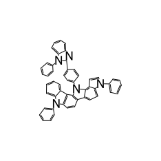 c1ccc(-n2ccc3c2ccc2c4ccc5c(c6ccccc6n5-c5ccccc5)c4n(-c4ccc(-c5nc6ccccc6n5-c5ccccc5)cc4)c23)cc1